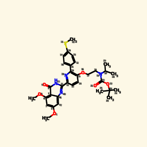 COc1cc(OC)c2c(=O)[nH]c(-c3ccc(OCCN(C(=O)OC(C)(C)C)C(C)C)c(-c4ccc(SC)cc4)n3)nc2c1